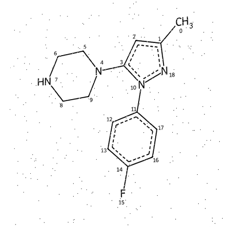 Cc1cc(N2CCNCC2)n(-c2ccc(F)cc2)n1